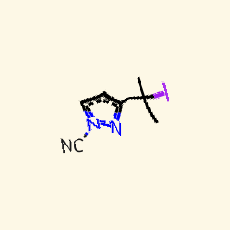 CC(C)(I)c1ccn(C#N)n1